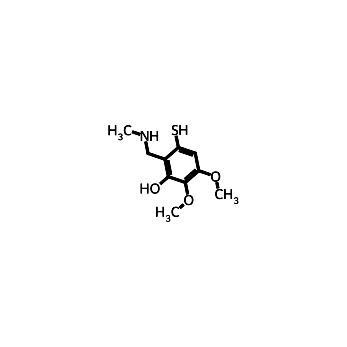 CNCc1c(S)cc(OC)c(OC)c1O